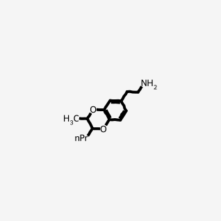 CCCC1Oc2ccc(CCN)cc2OC1C